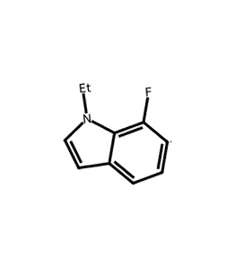 CCn1ccc2cc[c]c(F)c21